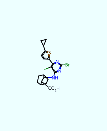 O=C(O)C1C2CCC(CC2)C1Nc1nc(Br)nc(-c2ccc(C3CC3)s2)c1F